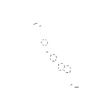 C=C(C)C(=O)OCOc1ccc(OC(=O)c2ccc(-c3ccc4cc(OCOC(=O)C(=C)C)ccc4c3)cc2)cc1